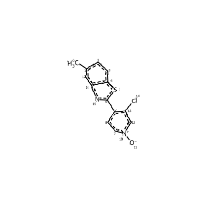 Cc1ccc2sc(-c3cc[n+]([O-])cc3Cl)nc2c1